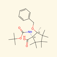 CC(C)(C)OC(=O)N[C@@]1(C(=O)O)C(C)(C)C(C)(C)C(C)(C)[C@]1(C)OCc1ccccc1